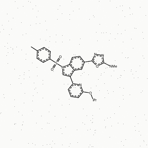 CNc1nnc(-c2ccc3c(c2)c(-c2cccc(OC(C)C)n2)cn3S(=O)(=O)c2ccc(C)cc2)o1